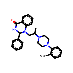 COc1ccccc1N1CCN(C(C)CN2c3ccccc3C(=O)NC2c2ccccc2)CC1